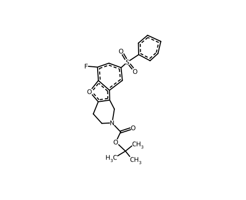 CC(C)(C)OC(=O)N1CCc2oc3c(F)cc(S(=O)(=O)c4ccccc4)cc3c2C1